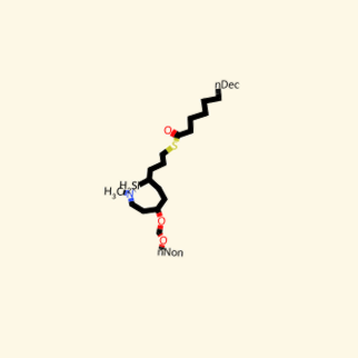 CCCCCCCCCCCCCCCC(=O)SCCCC1CCC(OCOCCCCCCCCC)CCN(C)[SiH2]1